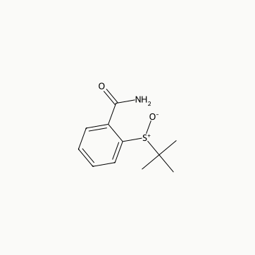 CC(C)(C)[S+]([O-])c1ccccc1C(N)=O